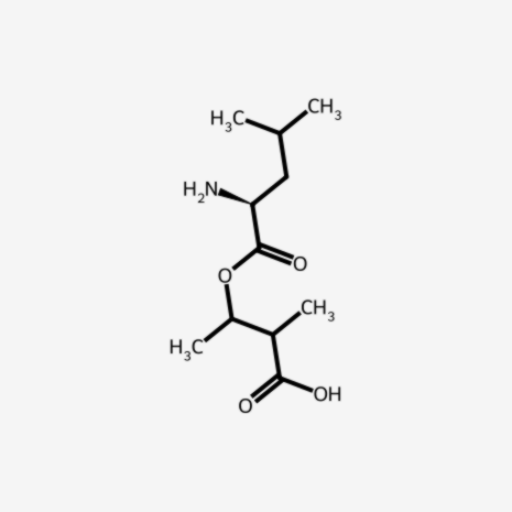 CC(C)C[C@H](N)C(=O)OC(C)C(C)C(=O)O